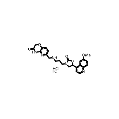 COc1ccc2nccc(C3CN(CCCNCc4ccc5c(n4)NC(=O)CO5)C(=O)O3)c2c1.Cl.Cl